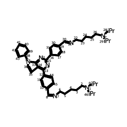 CC(C)N(CCCCC/N=C\c1ccc(-c2nc(-c3ccc(/C=N/CCCCCN(C(C)C)C(C)C)cc3)nc3c2ccn3-c2ccccc2)cc1)C(C)C